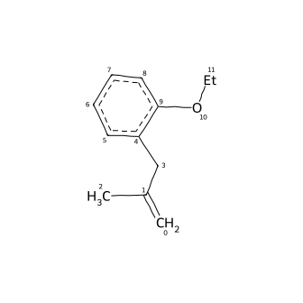 C=C(C)Cc1ccccc1OCC